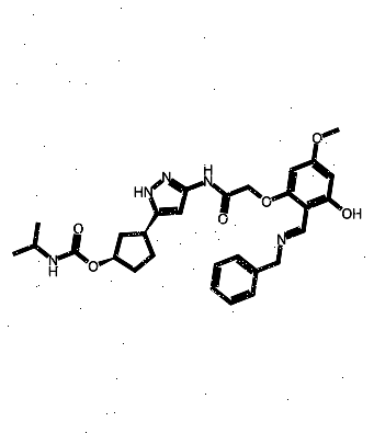 COc1cc(O)c(/C=N/Cc2ccccc2)c(OCC(=O)Nc2cc([C@H]3CC[C@@H](OC(=O)NC(C)C)C3)[nH]n2)c1